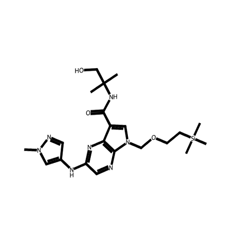 Cn1cc(Nc2cnc3c(n2)c(C(=O)NC(C)(C)CO)cn3COCC[Si](C)(C)C)cn1